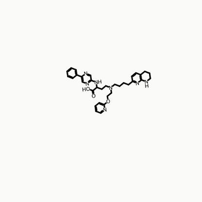 O=C(O)C(CCN(CCCCc1ccc2c(n1)NCCC2)CCOc1ccccn1)Nc1cnc(-c2ccccc2)cn1